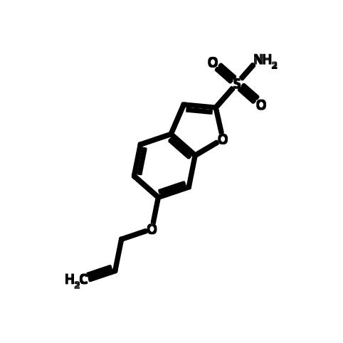 C=CCOc1ccc2cc(S(N)(=O)=O)oc2c1